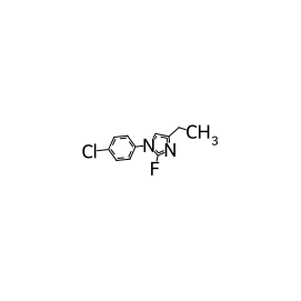 CCc1cn(-c2ccc(Cl)cc2)c(F)n1